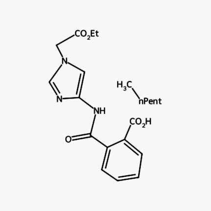 CCCCCC.CCOC(=O)Cn1cnc(NC(=O)c2ccccc2C(=O)O)c1